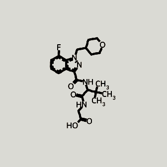 CC(C)(C)C(NC(=O)c1nn(CC2CCOCC2)c2c(F)cccc12)C(=O)NCC(=O)O